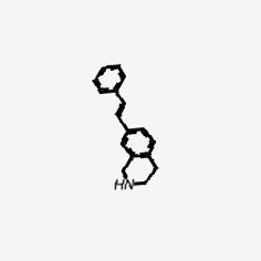 C(=Cc1ccc2c(c1)CNCC2)c1ccccc1